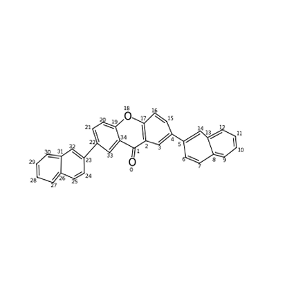 O=c1c2cc(-c3ccc4ccccc4c3)ccc2oc2ccc(-c3ccc4ccccc4c3)cc12